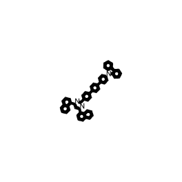 c1ccc2c(-c3cc(-c4cccc5ccccc45)nc(-c4ccc(-c5ccc(-c6ccc(-n7c8ccccc8c8ccccc87)cc6)cc5)cc4)n3)cccc2c1